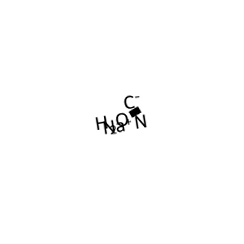 O.[C-]#N.[Na+]